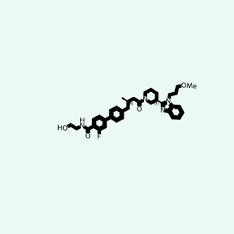 COCCCn1c([C@@H]2CCCN(C(=O)C[C@H](C)Cc3ccc(-c4ccc(C(=O)NCCO)c(F)c4)cc3)C2)nc2ccccc21